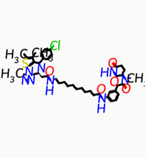 Cc1sc2c(c1C)C(c1ccc(Cl)cc1)=N[C@@H](CC(=O)NCCCCCCCCCCC(=O)Nc1cccc(CC(=O)N(C)C3CCC(=O)NC3=O)c1)c1nnc(C)n1-2